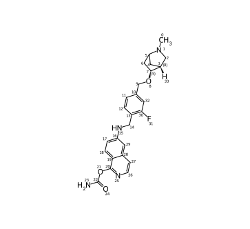 CN1C[C@H]2CC1C[C@@H]2OCc1ccc(CNc2ccc3c(OC(N)=O)nccc3c2)c(F)c1